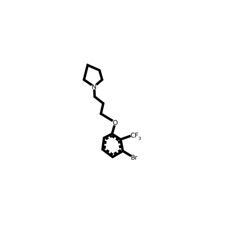 FC(F)(F)c1c(Br)cccc1OCCCN1CCCC1